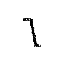 CCCCCCCCOCCOCCOCCOCCOCCOCCOCCCC